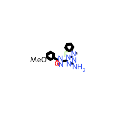 COc1cccc(-c2nc(-c3nc(N)nc(N(C)c4ccccc4F)n3)no2)c1